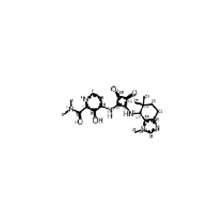 CN(C)C(=O)c1nccc(Nc2c(NC3c4c(ncn4C)CCC3(C)C)c(=O)c2=O)c1O